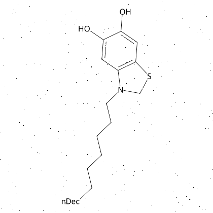 CCCCCCCCCCCCCCCCN1CSc2cc(O)c(O)cc21